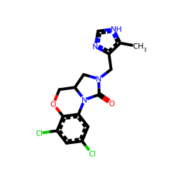 Cc1[nH]cnc1CN1CC2COc3c(Cl)cc(Cl)cc3N2C1=O